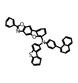 c1ccc(-c2nc3cc4oc5c(N(c6ccc(-c7cccc8ccccc78)cc6)c6ccc7sc8ccccc8c7c6)cccc5c4cc3o2)cc1